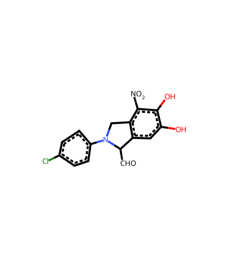 O=CC1c2cc(O)c(O)c([N+](=O)[O-])c2CN1c1ccc(Cl)cc1